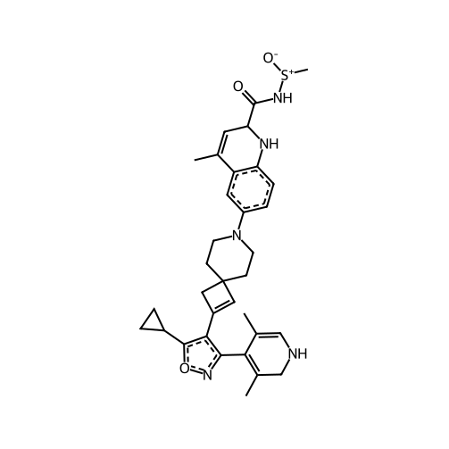 CC1=CNCC(C)=C1c1noc(C2CC2)c1C1=CC2(CCN(c3ccc4c(c3)C(C)=CC(C(=O)N[S+](C)[O-])N4)CC2)C1